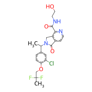 CC(c1ccc(OCC(C)(F)F)c(Cl)c1)N1Cc2c(ccnc2C(=O)NCCO)C1=O